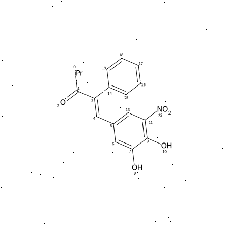 CC(C)C(=O)C(=Cc1cc(O)c(O)c([N+](=O)[O-])c1)c1ccccc1